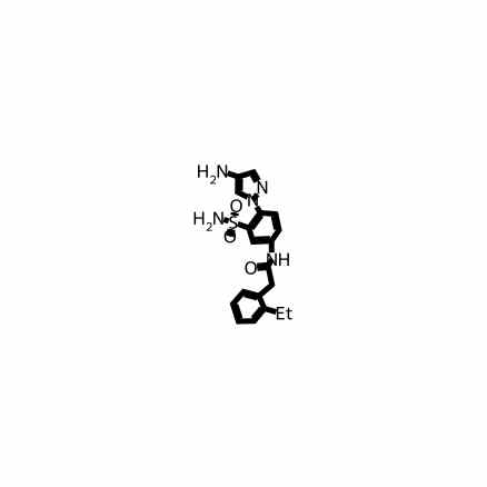 CCc1ccccc1CC(=O)Nc1ccc(-n2cc(N)cn2)c(S(N)(=O)=O)c1